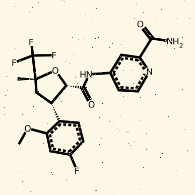 COc1cc(F)ccc1[C@@H]1C[C@](C)(C(F)(F)F)O[C@@H]1C(=O)Nc1ccnc(C(N)=O)c1